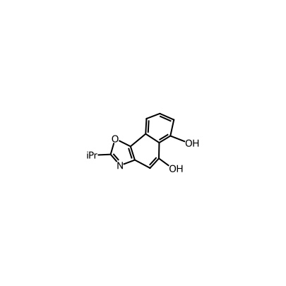 CC(C)c1nc2cc(O)c3c(O)cccc3c2o1